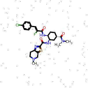 CN1CCc2nc(C(=O)N[C@@H]3C[C@@H](C(=O)N(C)C)CC[C@@H]3NC(=O)/C(F)=C/c3ccc(Cl)cc3)sc2C1